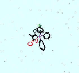 COC1=C(C)C(=O)OC1[P+](c1ccccc1)(c1ccccc1)c1ccccc1.[Br-]